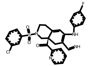 N=CC1=C(Nc2ccc(F)cc2)C=C2CCN(S(=O)(=O)c3cccc(Cl)c3)C[C@@]2(C(=O)c2ccccn2)C1